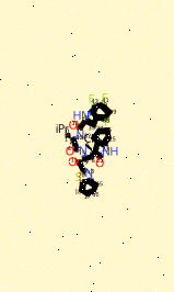 CC(C)C[C@@H](C(=O)N1C[C@]2(C[C@H]1C(=O)c1nc3ccccc3s1)C(=O)Nc1ccccc12)N(C)C(=O)c1cc2c(F)cc(F)c(F)c2[nH]1